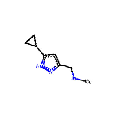 CC(C)(C)NCc1cc(C2CC2)[nH]n1